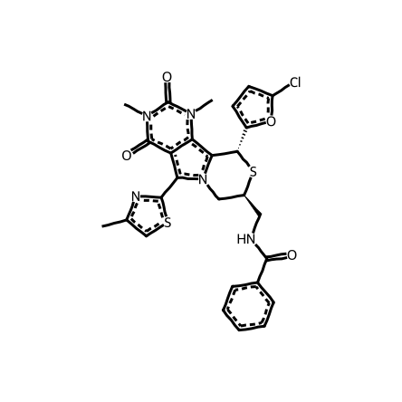 Cc1csc(-c2c3c(=O)n(C)c(=O)n(C)c3c3n2C[C@H](CNC(=O)c2ccccc2)S[C@H]3c2ccc(Cl)o2)n1